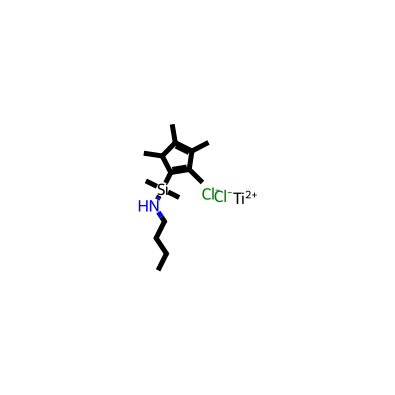 CCCCN[Si](C)(C)C1=C(C)C(C)=C(C)C1C.[Cl-].[Cl-].[Ti+2]